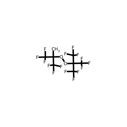 CC(OOC(C(F)(F)F)(C(F)(F)F)C(F)(F)F)(C(F)(F)F)C(F)(F)F